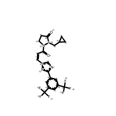 O=C(/C=C\n1cnc(-c2cc(C(F)(F)F)cc(C(F)(F)F)c2)n1)N1CCC(=O)N1CC1CC1